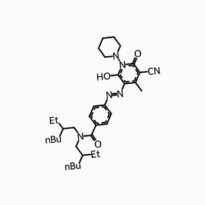 CCCCC(CC)CN(CC(CC)CCCC)C(=O)c1ccc(N=Nc2c(C)c(C#N)c(=O)n(N3CCCCC3)c2O)cc1